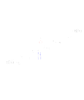 CC(C)(C)CCCCCC(=O)NCCCCC(C)(C)C